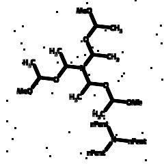 CCCCCN(CCCCC)CCCCC.COC(C)OC(C)N(C(C)OC(C)OC)C(C)OC(C)OC